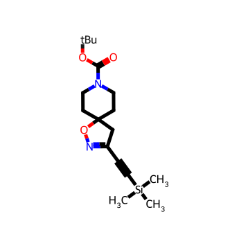 CC(C)(C)OC(=O)N1CCC2(CC1)CC(C#C[Si](C)(C)C)=NO2